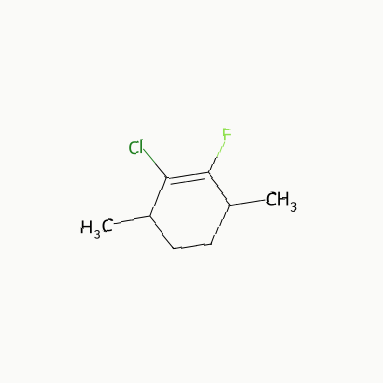 CC1CCC(C)C(Cl)=C1F